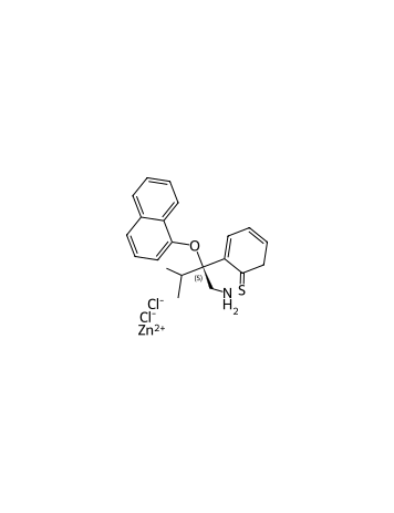 CC(C)[C@](CN)(Oc1cccc2ccccc12)C1=CC=CCC1=S.[Cl-].[Cl-].[Zn+2]